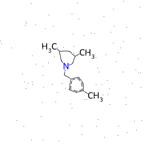 Cc1ccc(CN2CC(C)CC(C)C2)cc1